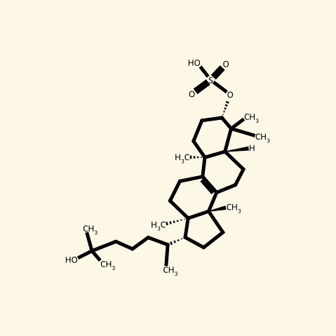 CC(CCCC(C)(C)O)[C@H]1CC[C@@]2(C)C3=C(CC[C@]12C)[C@@]1(C)CC[C@H](OS(=O)(=O)O)C(C)(C)[C@@H]1CC3